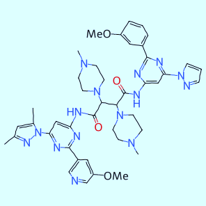 COc1cccc(-c2nc(NC(=O)C(C(C(=O)Nc3cc(-n4nc(C)cc4C)nc(-c4cncc(OC)c4)n3)N3CCN(C)CC3)N3CCN(C)CC3)cc(-n3cccn3)n2)c1